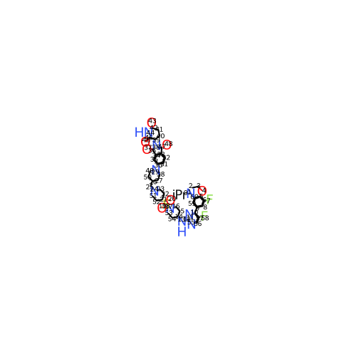 CC(C)N1CCOc2c(F)cc(-c3nc(NC4CCN(S(=O)(=O)C5CCN(CC6CCN(c7ccc8c(c7)C(=O)N(C7CCC(=O)NC7=O)C8=O)CC6)CC5)CC4)ncc3F)cc21